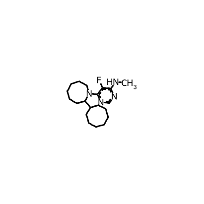 CNc1ncnc(N2CCCCCCC2C2CCCCCCC2)c1F